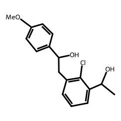 COc1ccc(C(O)Cc2cccc(C(C)O)c2Cl)cc1